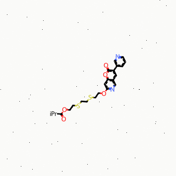 CC(C)C(=O)OCCSCCSCCOc1cc2oc(=O)c(-c3cccnc3)cc2cn1